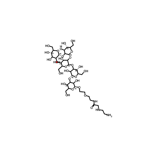 NCCNCC(=O)NCCOCCO[C@H]1OC(CO)[C@@H](O)C(O[C@H]2OC(CO)[C@@H](O)C(O[C@H]3OC(CO)[C@@H](O)C(O)C3O[C@H]3OC(CO)[C@@H](O)C(O)C3O[C@H]3OC(CO)[C@@H](O)C(O)C3O)C2O)C1O